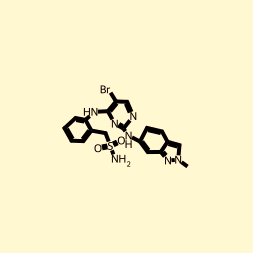 Cn1cc2ccc(Nc3ncc(Br)c(Nc4ccccc4CS(N)(=O)=O)n3)cc2n1